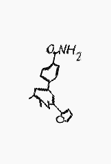 Cc1cc(-c2ccc(C(N)=O)cc2)cc(-c2ccco2)n1